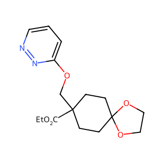 CCOC(=O)C1(COc2cccnn2)CCC2(CC1)OCCO2